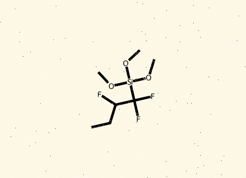 CCC(F)C(F)(F)[Si](OC)(OC)OC